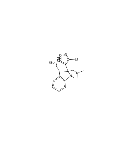 CCc1noc(C(C)(C)C)c1C1(CN(C)C)C(CO)c2ccccc2N1C